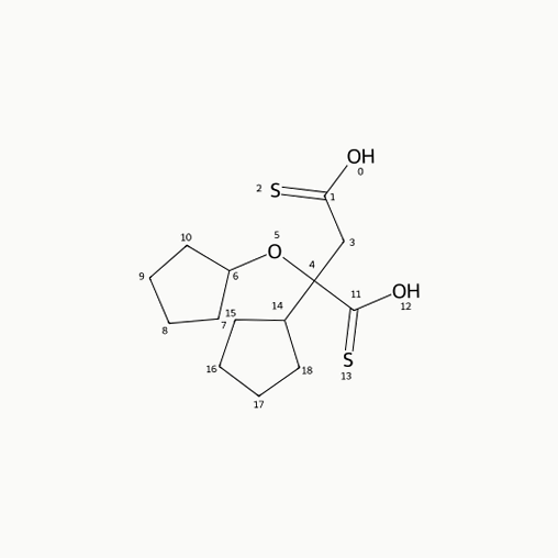 OC(=S)CC(OC1CCCC1)(C(O)=S)C1CCCC1